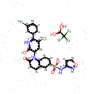 O=C(O)C(F)(F)F.O=c1[nH]c(-c2cccc(F)c2)c(Cl)cc1-n1c(=O)ccc2cc(S(=O)(=O)Nc3ccon3)ccc21